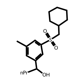 CCCC(O)c1cc(C)cc(S(=O)(=O)CC2CCCCC2)c1